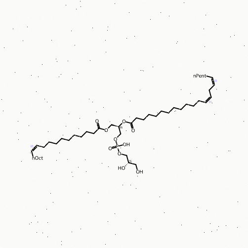 CCCCC/C=C\C/C=C\CCCCCCCCCCCC(=O)O[C@H](COC(=O)CCCCCCCCC/C=C\CCCCCCCC)COP(=O)(O)OC[C@@H](O)CO